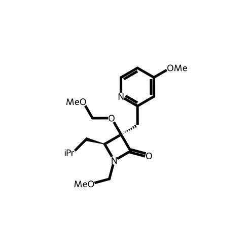 COCO[C@@]1(Cc2cc(OC)ccn2)C(=O)N(COC)[C@H]1CC(C)C